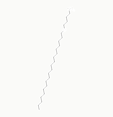 CCCCCCCCCCCCCCCCCCCCOCCCCN